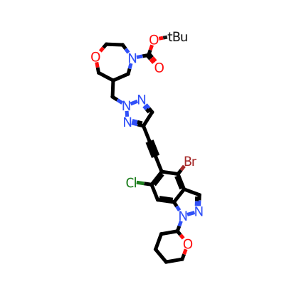 CC(C)(C)OC(=O)N1CCOCC(Cn2ncc(C#Cc3c(Cl)cc4c(cnn4C4CCCCO4)c3Br)n2)C1